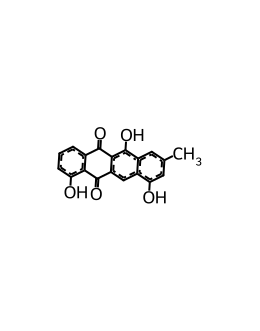 Cc1cc(O)c2cc3c(c(O)c2c1)C(=O)c1cccc(O)c1C3=O